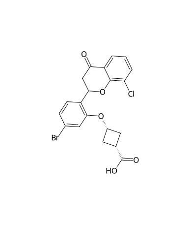 O=C1CC(c2ccc(Br)cc2O[C@H]2C[C@@H](C(=O)O)C2)Oc2c(Cl)cccc21